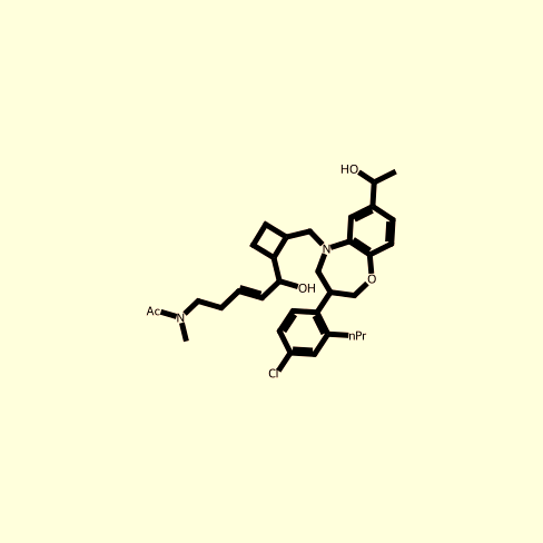 CCCc1cc(Cl)ccc1C1COc2ccc(C(C)O)cc2N(CC2CCC2C(O)/C=C/CCN(C)C(C)=O)C1